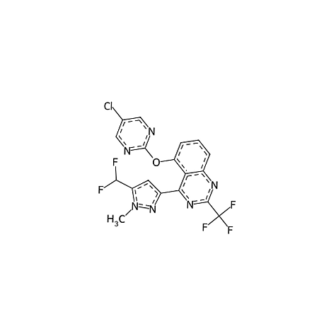 Cn1nc(-c2nc(C(F)(F)F)nc3cccc(Oc4ncc(Cl)cn4)c23)cc1C(F)F